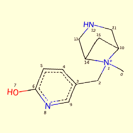 C[N+]1(Cc2ccc(O)nc2)C2CNCC1C2